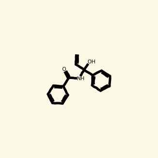 C=CC(O)(NC(=O)c1ccccc1)c1ccccc1